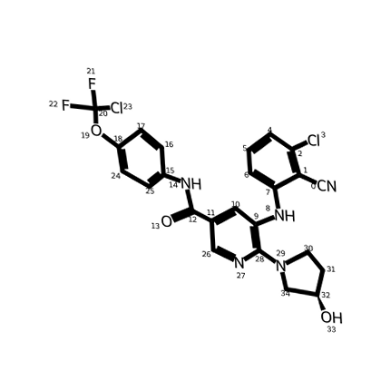 N#Cc1c(Cl)cccc1Nc1cc(C(=O)Nc2ccc(OC(F)(F)Cl)cc2)cnc1N1CC[C@@H](O)C1